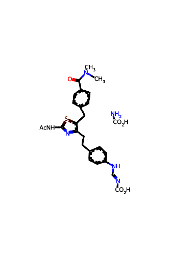 CC(=O)Nc1nc(CCc2ccc(NC=NC(=O)O)cc2)c(Cc2ccc(C(=O)N(C)C)cc2)s1.NC(=O)O